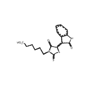 O=C(O)CCCCCN1C(=O)/C(=C2/C(=O)Nc3ccccc32)SC1=S